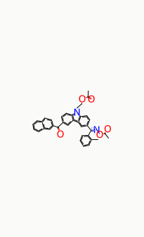 CC(=O)OCCn1c2ccc(C(=O)c3ccc4ccccc4c3)cc2c2cc(/C(=N/OC(C)=O)c3ccccc3C)ccc21